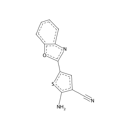 N#Cc1cc(-c2nc3ccccc3o2)sc1N